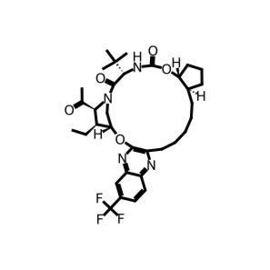 CC[C@@H]1[C@@H]2CN(C(=O)[C@H](C(C)(C)C)NC(=O)O[C@@H]3CCC[C@H]3CCCCCc3nc4ccc(C(F)(F)F)cc4nc3O2)[C@@H]1C(C)=O